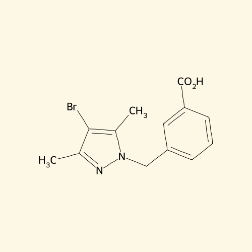 Cc1nn(Cc2cccc(C(=O)O)c2)c(C)c1Br